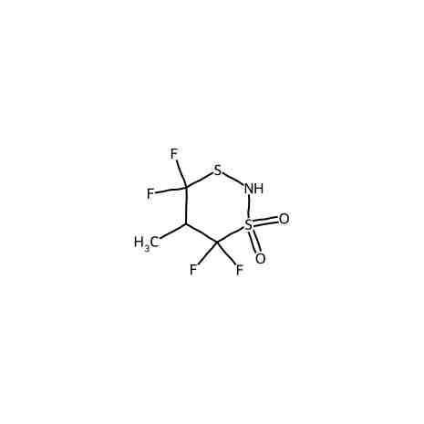 CC1C(F)(F)SNS(=O)(=O)C1(F)F